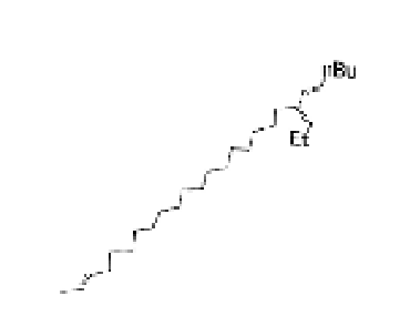 CC=CCCCCCCCCCCCCCCCCC(C=CCCCC)=CCC